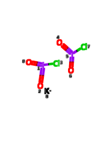 O=I(=O)Cl.O=I(=O)Cl.[K]